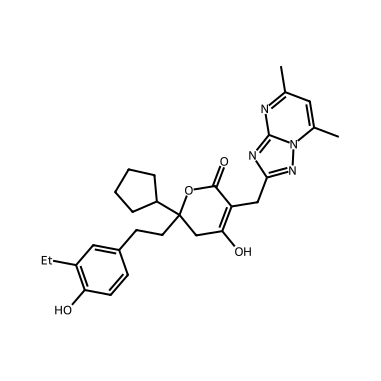 CCc1cc(CCC2(C3CCCC3)CC(O)=C(Cc3nc4nc(C)cc(C)n4n3)C(=O)O2)ccc1O